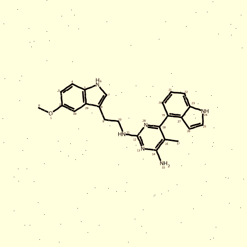 COc1ccc2[nH]cc(CCNc3nc(N)c(C)c(-c4cccc5[nH]ccc45)n3)c2c1